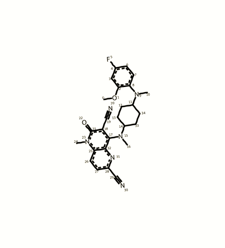 COc1cc(F)ccc1N(C)C1CCC(N(C)c2c(C#N)c(=O)n(C)c3ccc(C#N)nc23)CC1